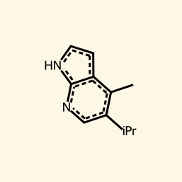 Cc1c(C(C)C)cnc2[nH]ccc12